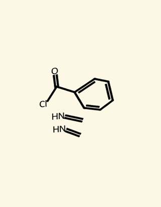 C=N.C=N.O=C(Cl)c1ccccc1